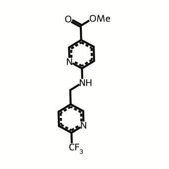 COC(=O)c1ccc(NCc2ccc(C(F)(F)F)nc2)nc1